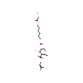 COC1C(OC(=O)NCCCCCCNC(=O)CNF)CC[C@]2(CO2)C1C(C)(C)OCC=C(C)C